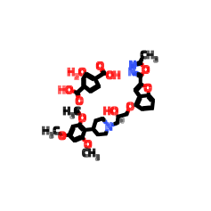 COc1cc(OC)c(C2CCN(C[C@H](O)COc3cccc4oc(-c5nnc(C)o5)cc34)CC2)c(OC)c1.O.O=C(O)c1ccc(C(=O)O)cc1